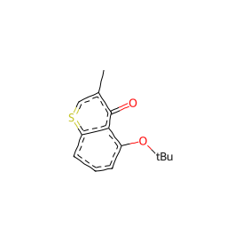 Cc1csc2cccc(OC(C)(C)C)c2c1=O